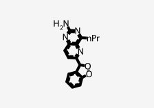 CCCc1nc(N)nc2ccc(C3OOc4ccccc43)nc12